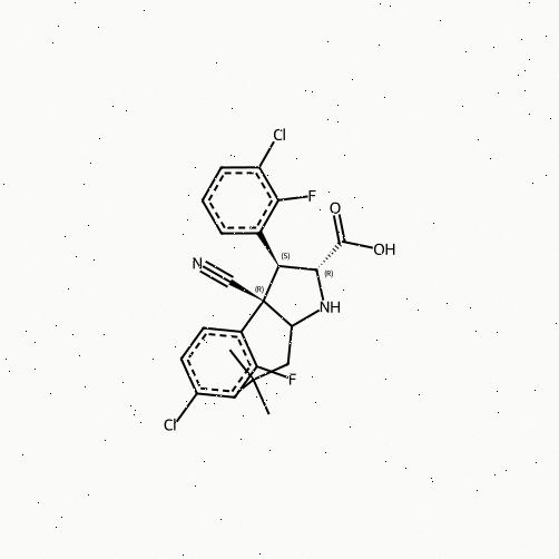 CC(C)(C)CC1N[C@@H](C(=O)O)[C@H](c2cccc(Cl)c2F)[C@@]1(C#N)c1ccc(Cl)cc1F